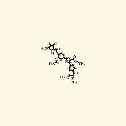 CCOC(=O)c1sc(N2CC[C@@H](NC(=O)c3[nH]c(C)c(Cl)c3Cl)[C@@H](OCC)C2)nc1-c1cnc(NC(COC)COC)cn1